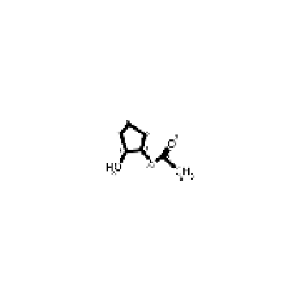 CC(=O)SC1CCCC1O